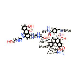 CNNCc1ccc(C(=O)NC(C)C)cc1.COc1cc([C@@H]2c3cc4c(cc3[C@H](O)[C@@H](CO)[C@@H]2C(=O)O)OCO4)cc(OC)c1OC.O=C1c2c(O)cccc2-c2nn(CCNCCO)c3ccc(NCCNCCO)c1c23.[CH2]C(=O)NN